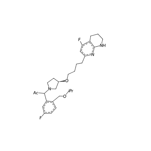 CC(=O)C(c1cc(F)ccc1COC(C)C)N1CC[C@@H](OCCCCc2cc(F)c3c(n2)NCCC3)C1